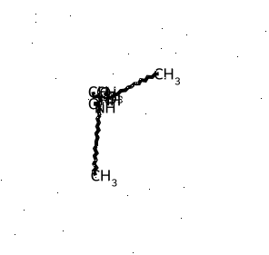 CCCCCCCCCCCCCCCCCCNC(=O)[C@@H](NC(=O)OCCCCCCCCCCCCCC)[C@@H](C)CC